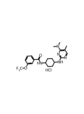 Cc1cnc(NC2CCC(NC(=O)c3cccc(OC(F)(F)F)c3)CC2)nc1N(C)C.Cl